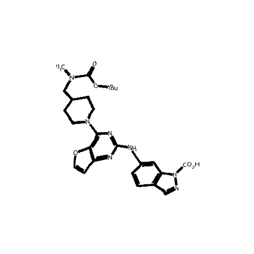 CN(CC1CCN(c2nc(Nc3ccc4cnn(C(=O)O)c4c3)nc3ccoc23)CC1)C(=O)OC(C)(C)C